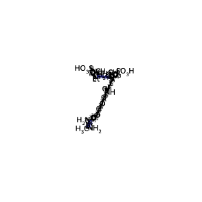 CCN1/C(=C/C=C/C=C/C2=[N+](CCCCCC(=O)NCCOCCOCCOCCOc3ccc(/C(N)=N/N=C(/C)N)cc3)c3ccc(S(=O)(=O)O)cc3C2(C)C)C(C)(C)c2cc(S(=O)(=O)O)ccc21